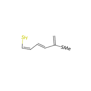 C=C(/C=C/C=C\S)SC